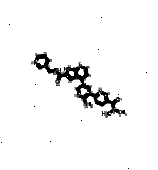 CN(C)C(=O)c1ccc(-c2cc(-c3ccnc4[nH]c(C(=O)NCc5cccnc5)cc34)cnc2N)nc1